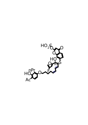 CCCc1c(OCCCC/C=C\C=C\[C@H](Sc2ccc3c(=O)cc(OC(=O)O)oc3c2)[C@H](O)c2cc(F)co2)ccc(C(C)=O)c1O